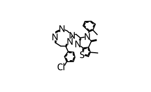 C=C1c2c(C)csc2N=C(CN2C/N=C\N=C/C/C(c3cccc(Cl)c3)=N\2)N1c1ccccc1C